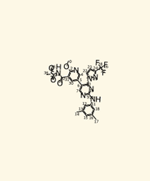 COc1ncc(-c2cnc(Nc3cc(C)cc(C)c3)nc2-n2ccc(C(F)(F)F)n2)cc1C(=O)NS(C)(=O)=O